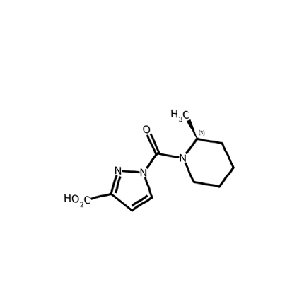 C[C@H]1CCCCN1C(=O)n1ccc(C(=O)O)n1